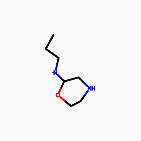 CCC[N]C1CNCCO1